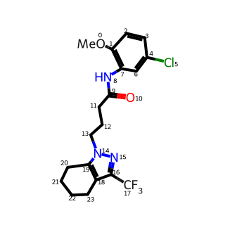 COc1ccc(Cl)cc1NC(=O)CCCn1nc(C(F)(F)F)c2c1CCCC2